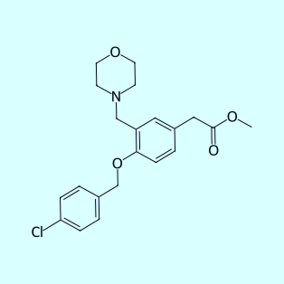 COC(=O)Cc1ccc(OCc2ccc(Cl)cc2)c(CN2CCOCC2)c1